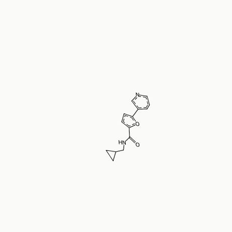 O=C(NCC1CC1)c1ccc(-c2cccnc2)o1